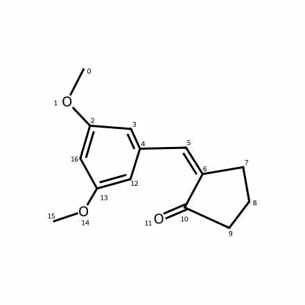 COc1cc(/C=C2/CCCC2=O)cc(OC)c1